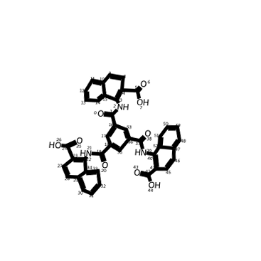 O=C(Nc1c(C(=O)O)ccc2ccccc12)c1cc(C(=O)Nc2c(C(=O)O)ccc3ccccc23)cc(C(=O)Nc2c(C(=O)O)ccc3ccccc23)c1